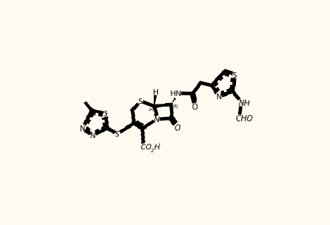 Cc1nnc(SC2=C(C(=O)O)N3C(=O)[C@@H](NC(=O)Cc4csc(NC=O)n4)[C@H]3SC2)s1